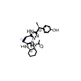 CC(=O)N[C@H]1CCCC[C@H]1NC(=N)/C=C\c1nnc([C@@H](C)c2ccc(O)cc2)[nH]1